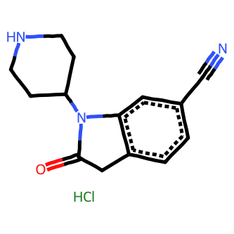 Cl.N#Cc1ccc2c(c1)N(C1CCNCC1)C(=O)C2